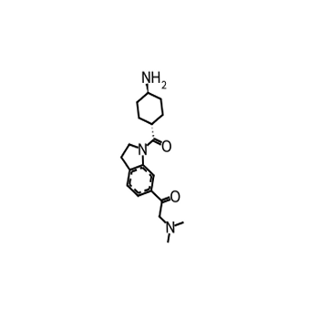 CN(C)CC(=O)c1ccc2c(c1)N(C(=O)[C@H]1CC[C@H](N)CC1)CC2